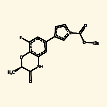 C[C@H]1Oc2c(F)cc(-c3ccn(C(=O)OC(C)(C)C)c3)cc2NC1=O